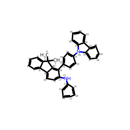 CC1(C)c2ccccc2-c2ccc(Nc3ccccc3)c(-c3ccc(-n4c5ccccc5c5ccccc54)cc3)c21